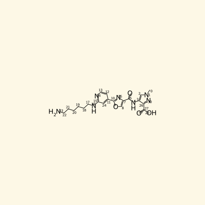 Cn1cc(NC(=O)c2coc(-c3ccnc(NCCCCCCN)c3)n2)c(C(=O)O)n1